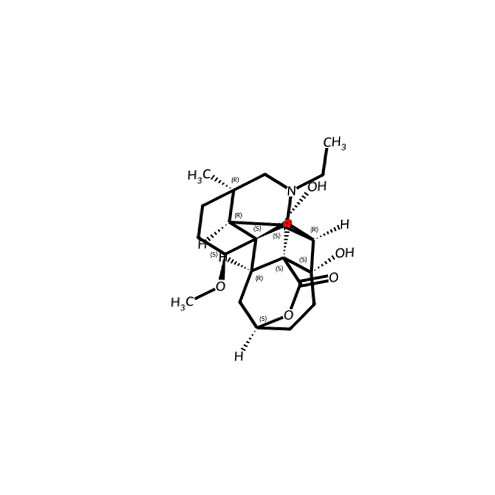 CCN1C[C@]2(C)CC[C@H](OC)[C@]34C1[C@H]([C@@H](O)[C@H]23)[C@@]1(O)CC[C@H]2C[C@@H]4[C@@H]1C(=O)O2